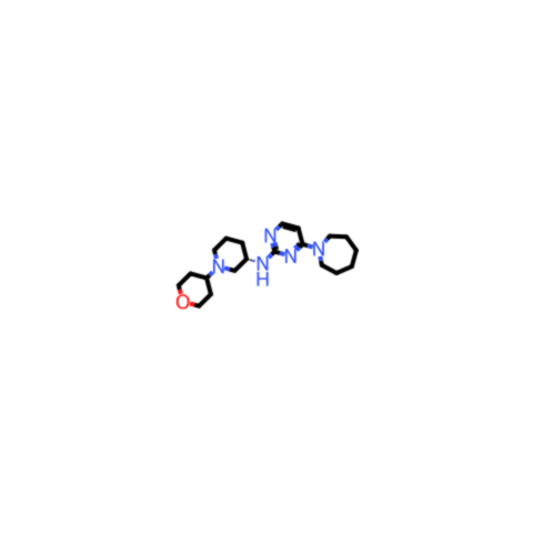 c1cc(N2CCCCCC2)nc(N[C@H]2CCCN(C3CCOCC3)C2)n1